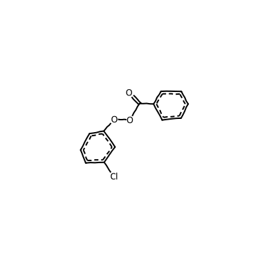 O=C(OOc1cccc(Cl)c1)c1ccccc1